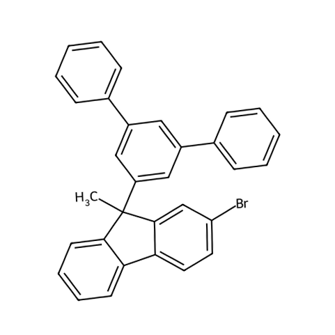 CC1(c2cc(-c3ccccc3)cc(-c3ccccc3)c2)c2ccccc2-c2ccc(Br)cc21